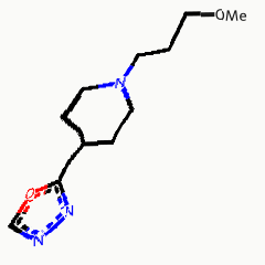 COCCCN1CCC(c2nnco2)CC1